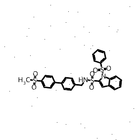 CS(=O)(=O)c1ccc(-c2ccc(CNS(=O)(=O)c3cc4ccccc4n3S(=O)(=O)c3ccccc3)cc2)cc1